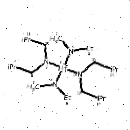 CC[N](C)[Hf]([N](C)CC)([N](CC(C)C)CC(C)C)[N](CC(C)C)CC(C)C